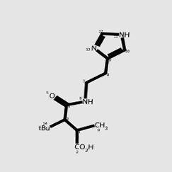 CC(C(=O)O)C(C(=O)NCCc1c[nH]cn1)C(C)(C)C